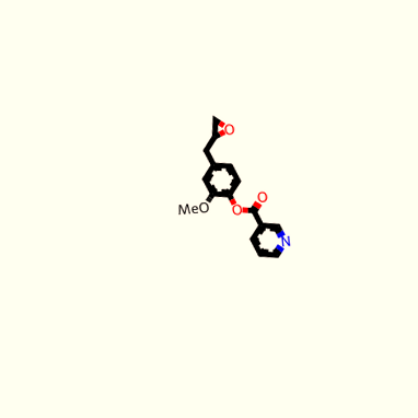 COc1cc(CC2CO2)ccc1OC(=O)c1cccnc1